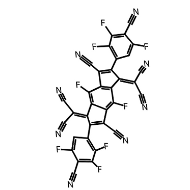 N#CC(C#N)=C1C(c2cc(F)c(C#N)c(F)c2F)=C(C#N)c2c(F)c3c(c(F)c21)C(C#N)=C(c1cc(F)c(C#N)c(F)c1F)C3=C(C#N)C#N